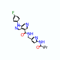 CC(C)C(=O)Nc1ccc(CNC(=O)c2cncc3c2cnn3-c2ccc(F)cc2)cn1